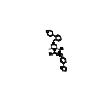 CC(C)C(=O)N1[C@H](C)CN(Cc2ccccc2C2CCOCC2)C[C@@H]1C(=O)NCc1ccc(-c2ccco2)cc1